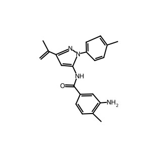 C=C(C)c1cc(NC(=O)c2ccc(C)c(N)c2)n(-c2ccc(C)cc2)n1